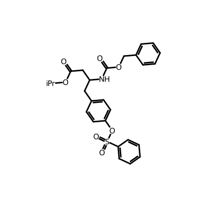 CC(C)OC(=O)CC(Cc1ccc(OS(=O)(=O)c2ccccc2)cc1)NC(=O)OCc1ccccc1